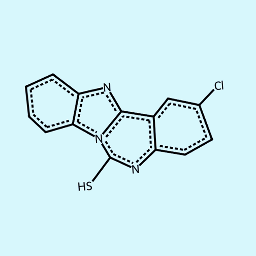 Sc1nc2ccc(Cl)cc2c2nc3ccccc3n12